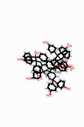 CC(CC(CC(c1ccc(O)cc1)(c1ccc(O)cc1)C(O)(c1ccccc1)c1ccccc1)c1ccc(O)cc1)(CC1(CC(C)(CC(CC(c2ccc(O)cc2)(c2ccc(O)cc2)C(O)(c2ccccc2)c2ccccc2)c2ccc(O)cc2)c2ccc(O)cc2)CCC(c2ccc(O)cc2)(c2ccc(O)cc2)CC1)c1ccc(O)cc1